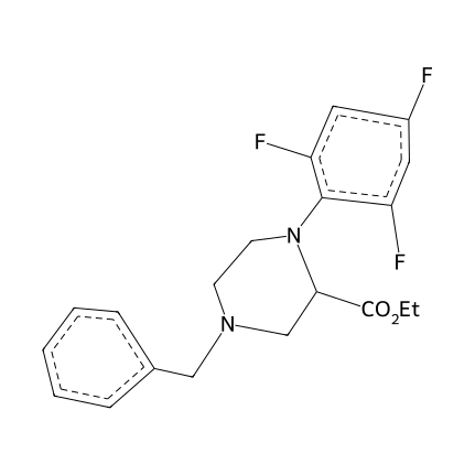 CCOC(=O)C1CN(Cc2ccccc2)CCN1c1c(F)cc(F)cc1F